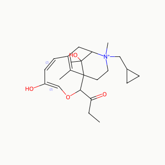 CCC(=O)C1O/C=C(O)/C=C\C2=C(C)C13CC[N+](C)(CC1CC1)C(C2)C3(C)O